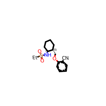 CCS(=O)(=O)N[C@H]1CCCC[C@@H]1COc1ccccc1C#N